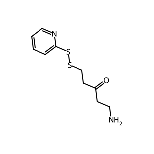 NCCC(=O)CCSSc1ccccn1